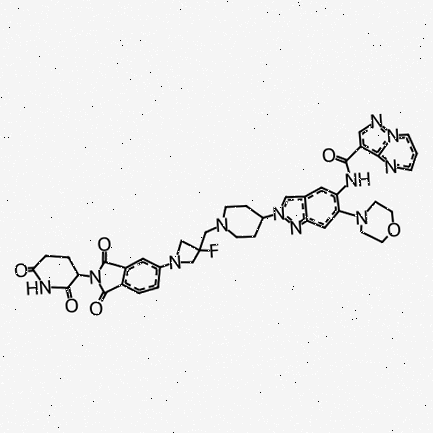 O=C1CCC(N2C(=O)c3ccc(N4CC(F)(CN5CCC(n6cc7cc(NC(=O)c8cnn9cccnc89)c(N8CCOCC8)cc7n6)CC5)C4)cc3C2=O)C(=O)N1